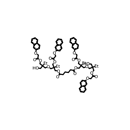 CCC(CO)(COCC(CC)(COC(=O)CCCCC(=O)OCC(CC)(COCC(CC)(CO)COC(=O)COc1ccc2ccccc2c1)COC(=O)COc1ccc2ccccc2c1)COC(=O)COc1ccc2ccccc2c1)COC(=O)COc1ccc2ccccc2c1